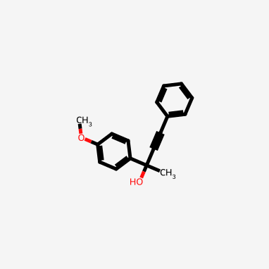 COc1ccc(C(C)(O)C#Cc2ccccc2)cc1